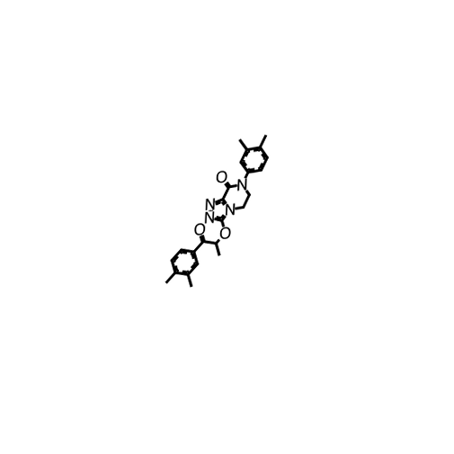 Cc1ccc(C(=O)C(C)Oc2nnc3n2CCN(c2ccc(C)c(C)c2)C3=O)cc1C